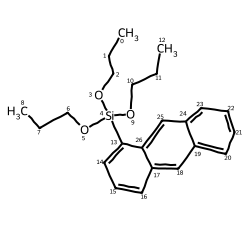 CCCO[Si](OCCC)(OCCC)c1cccc2cc3ccccc3cc12